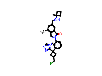 Cn1cnnc1C1(c2cccc(N3Cc4c(cc(CNC5(C)CCC5)cc4C(F)(F)F)C3=O)c2)CC(CF)C1